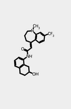 CN1CCCC(=CC(=O)Nc2cccc3c2CC(O)CC3)c2ccc(C(F)(F)F)cc21